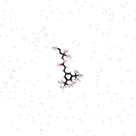 CCCC(C)(O)COC(=O)CCc1cc(C(C)(C)C)c(O)c(C(C)(C)C)c1